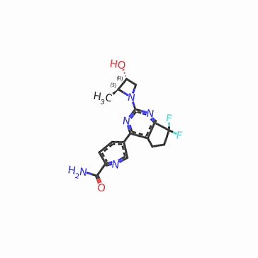 C[C@H]1[C@H](O)CN1c1nc(-c2ccc(C(N)=O)nc2)c2c(n1)C(F)(F)CC2